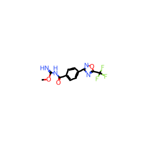 COC(=N)NC(=O)c1ccc(-c2noc(C(F)(F)F)n2)cc1